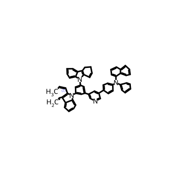 C=Cc1c(/C=C\C)n(-c2cc(-c3cncc(-c4ccc(N(c5ccccc5)c5cccc6ccccc56)cc4)c3)cc(-n3c4c(c5ccccc53)CCC=C4)c2)c2ccccc12